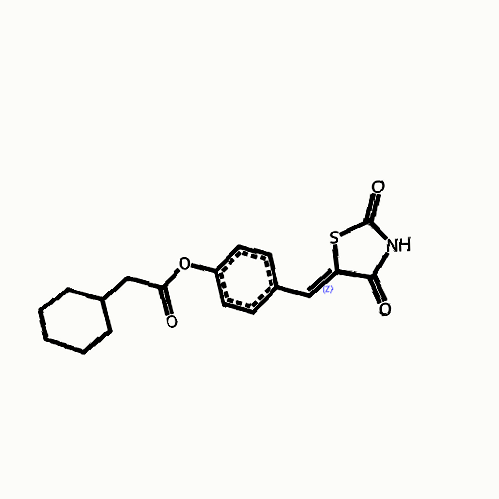 O=C(CC1CCCCC1)Oc1ccc(/C=C2\SC(=O)NC2=O)cc1